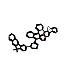 CC1(C)c2ccc(-c3cccc(-c4c5ccccc5c(-c5ccccc5-c5cccc6c5oc5ccccc56)c5ccccc45)c3)cc2-c2cc3ccccc3cc21